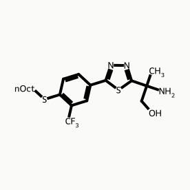 CCCCCCCCSc1ccc(-c2nnc(C(C)(N)CO)s2)cc1C(F)(F)F